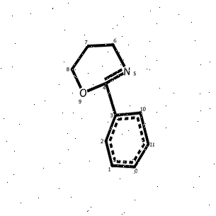 c1ccc(C2=NCCCO2)cc1